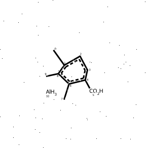 Cc1ccc(C(=O)O)c(C)c1C.[AlH3]